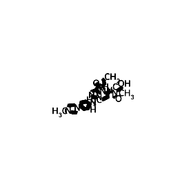 C=CCn1c(=O)c2cnc(Nc3ccc(N4CCN(C)CC4)cc3)nc2n1C(/C=C\C)=N/N(C=O)C(C)(C)CO